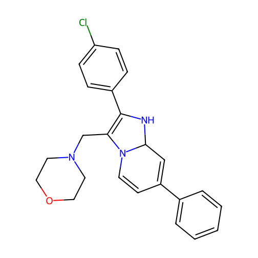 Clc1ccc(C2=C(CN3CCOCC3)N3C=CC(c4ccccc4)=CC3N2)cc1